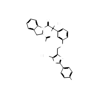 Cc1oc(-c2ccc(Cl)cc2)nc1COc1cccc(C(C)(C)C(=O)N2c3ccccc3C[C@@H]2C(=O)O)c1